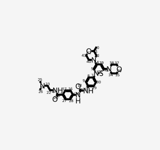 CC1CN(C2=CN(c3ccc(NC(=O)Nc4ccc(C(=O)NCCN(C)C)cc4)cc3)SC(N3CCOCC3)=C2)CCO1